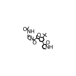 CC(=O)NC[C@H]1CCN(C(=O)c2coc3c(C(C)(C)C)cc(-c4ccc[nH]c4=O)cc23)C1